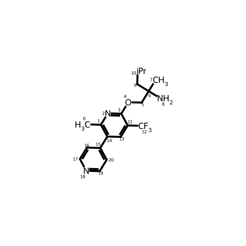 Cc1nc(OCC(C)(N)CC(C)C)c(C(F)(F)F)cc1-c1ccncc1